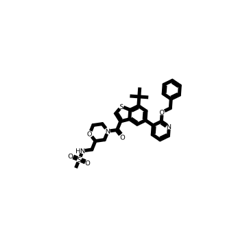 CC(C)(C)c1cc(-c2cccnc2OCc2ccccc2)cc2c(C(=O)N3CCOC(CNS(C)(=O)=O)C3)csc12